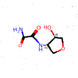 NC(=O)C(=O)N[C@H]1COC[C@@H]1O